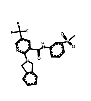 CS(=O)(=O)c1cccc(NC(=O)c2cc(C(F)(F)F)cnc2N2Cc3ccccc3C2)c1